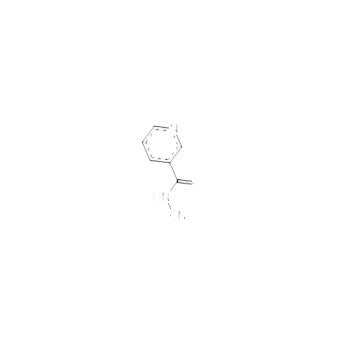 N#CNC(=O)c1cccnc1